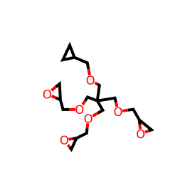 C1CC1COCC(COCC1CO1)(COCC1CO1)COCC1CO1